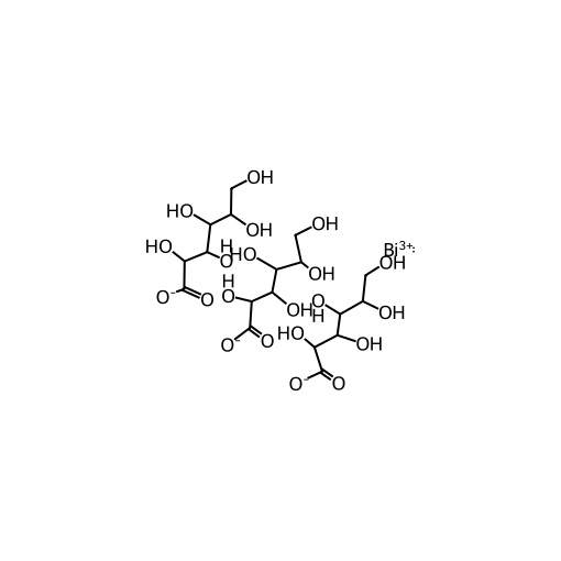 O=C([O-])C(O)C(O)C(O)C(O)CO.O=C([O-])C(O)C(O)C(O)C(O)CO.O=C([O-])C(O)C(O)C(O)C(O)CO.[Bi+3]